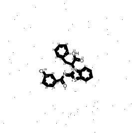 O=C(N=c1sc2ccccc2n1C(Cc1ccccc1)C(=O)O)c1cccc(Cl)c1